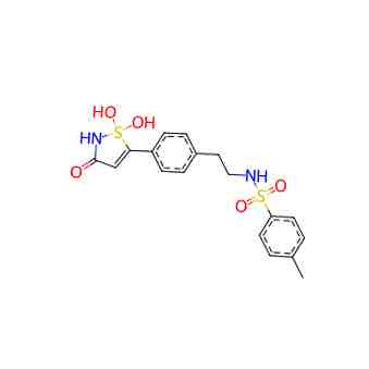 Cc1ccc(S(=O)(=O)NCCc2ccc(C3=CC(=O)NS3(O)O)cc2)cc1